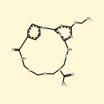 O=C1NCCCCCN(C(=O)C(F)(F)F)CCNc2nc(nc(OCC(F)(F)F)n2)Nc2ccc1cc2